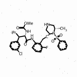 COC(=O)N[C@H](C(=O)Nc1cccc(F)c1CC[C@H]1CNC[C@H](C)N1S(=O)(=O)c1ccccc1)C(c1cccc(Cl)c1)C(C)C